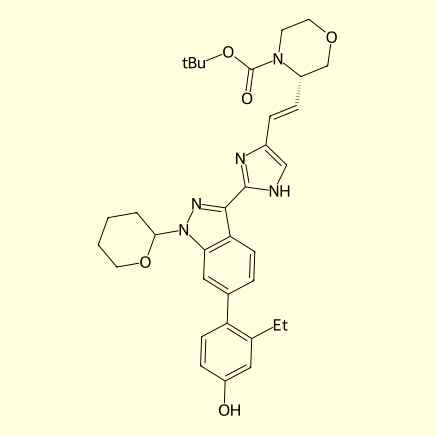 CCc1cc(O)ccc1-c1ccc2c(-c3nc(/C=C/[C@H]4COCCN4C(=O)OC(C)(C)C)c[nH]3)nn(C3CCCCO3)c2c1